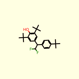 CC(C)(C)c1ccc(C(c2cc(C(C)(C)C)c(O)c(C(C)(C)C)c2)C(F)F)cc1